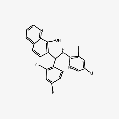 Cc1cc(Cl)cnc1NC(c1ccc(F)cc1Cl)c1ccc2cccnc2c1O